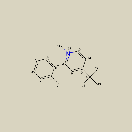 Cc1ccccc1-c1cc(C(C)(C)C)cc[n+]1C